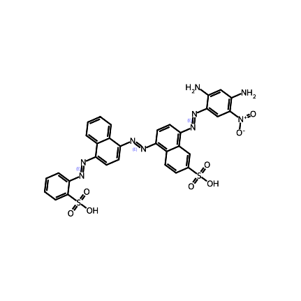 Nc1cc(N)c([N+](=O)[O-])cc1/N=N/c1ccc(/N=N/c2ccc(/N=N/c3ccccc3S(=O)(=O)O)c3ccccc23)c2ccc(S(=O)(=O)O)cc12